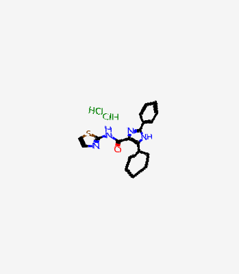 Cl.Cl.O=C(Nc1nccs1)c1nc(-c2ccccc2)[nH]c1C1CCCCC1